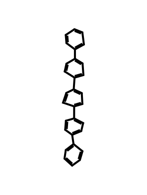 c1ccc(-c2ccc(-c3ccc(-c4ccc(-c5ccccc5)cc4)cc3)cc2)cc1